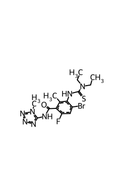 CCN(CC)C(=S)Nc1c(Br)cc(F)c(C(=O)Nc2nnnn2C)c1C